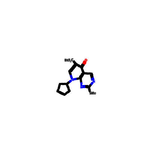 CCOC(=O)c1cn(C2CCCC2)c2nc(SC)ncc2c1=O